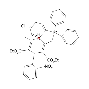 CCOC(=O)C1=C(C)NC(C[P+](c2ccccc2)(c2ccccc2)c2ccccc2)=C(C(=O)OCC)C1c1ccccc1[N+](=O)[O-].[Cl-]